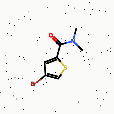 CN(C)C(=O)c1cc(Br)cs1